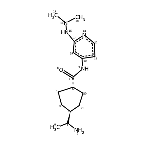 CC(N)[C@H]1CC[C@H](C(=O)Nc2ccnc(NN(C)C)c2)CC1